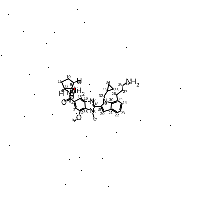 COc1cc(C(=O)N2C[C@H]3CC[C@@H]2[C@@H]3N)cc2nc(-c3cc4cccc(CCCN)c4n3CC3CC3)n(C)c12